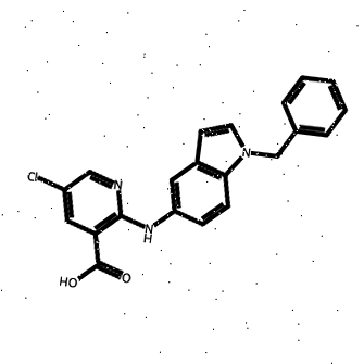 O=C(O)c1cc(Cl)cnc1Nc1ccc2c(ccn2Cc2ccccc2)c1